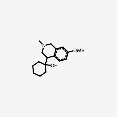 COc1ccc2c(c1)CN(C)CC2C1(O)CCCCC1